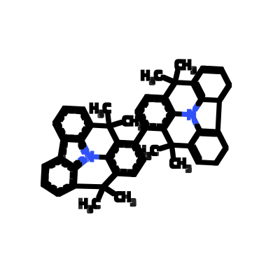 CC1(C)C2=C3C(CC=C2)C2=C4C(=CCC2)C(C)(C)c2c(-c5ccc6c7c5C(C)(C)c5cccc8c9cccc(c9n-7c58)C6(C)C)ccc1c2N43